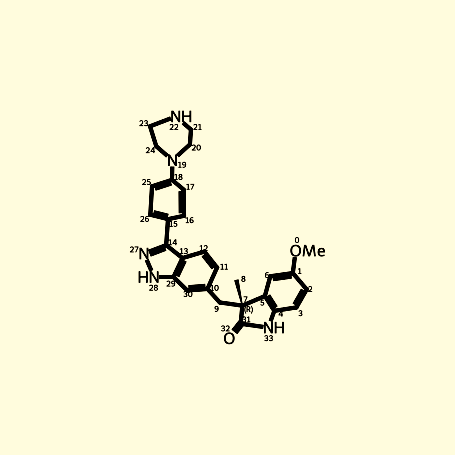 COc1ccc2c(c1)[C@@](C)(Cc1ccc3c(-c4ccc(N5CCNCC5)cc4)n[nH]c3c1)C(=O)N2